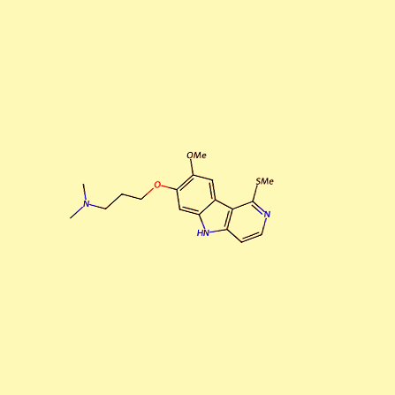 COc1cc2c(cc1OCCCN(C)C)[nH]c1ccnc(SC)c12